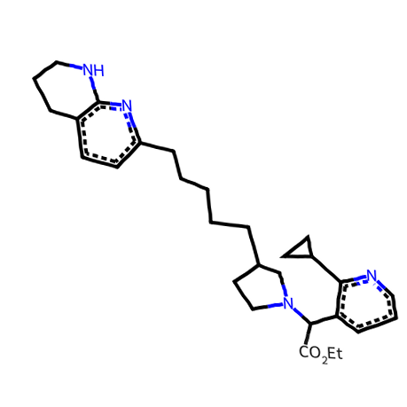 CCOC(=O)C(c1cccnc1C1CC1)N1CCC(CCCCCc2ccc3c(n2)NCCC3)C1